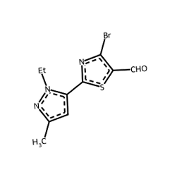 CCn1nc(C)cc1-c1nc(Br)c(C=O)s1